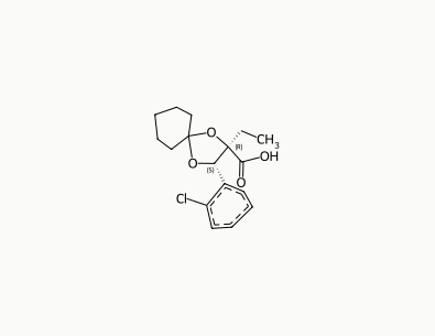 CC[C@@]1(C(=O)O)OC2(CCCCC2)O[C@H]1c1ccccc1Cl